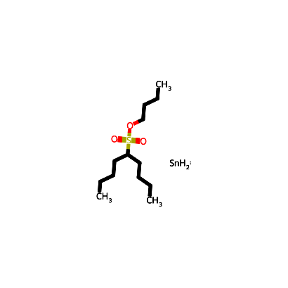 CCCCOS(=O)(=O)C(CCCC)CCCC.[SnH2]